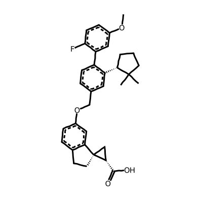 COc1ccc(F)c(-c2ccc(COc3ccc4c(c3)[C@@]3(CC4)C[C@@H]3C(=O)O)cc2[C@@H]2CCCC2(C)C)c1